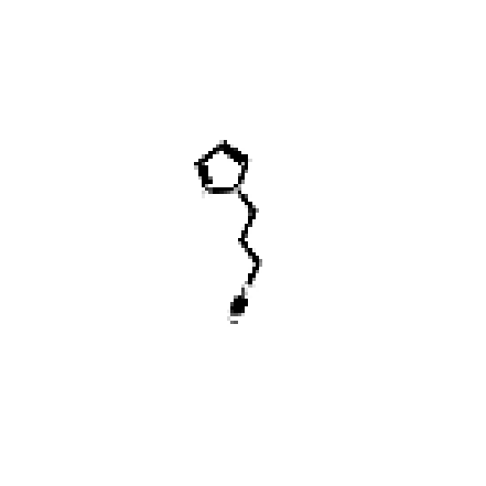 [C-]#[N+]CCCn1cccn1